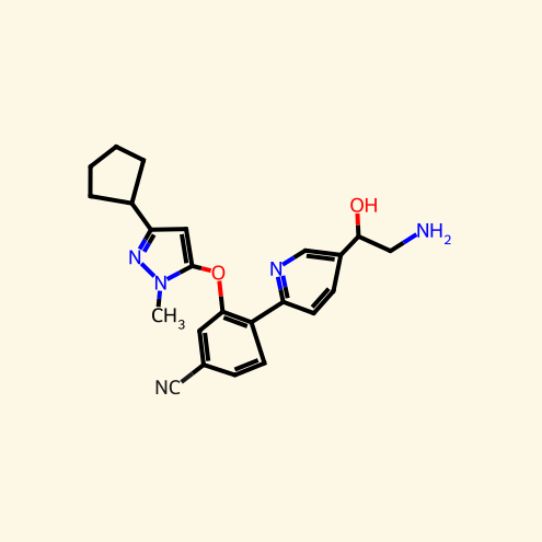 Cn1nc(C2CCCC2)cc1Oc1cc(C#N)ccc1-c1ccc(C(O)CN)cn1